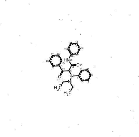 CCN(CC)N(c1ccccc1)C(C(=O)Nc1ccccc1)C(=O)c1ccccc1